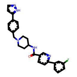 O=C(NC1CCN(Cc2ccc(-c3ccn[nH]3)cc2)CC1)c1ccc(-c2cccc(F)c2)nc1